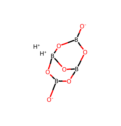 [H+].[H+].[O-]B1OB2OB([O-])OB(O1)O2